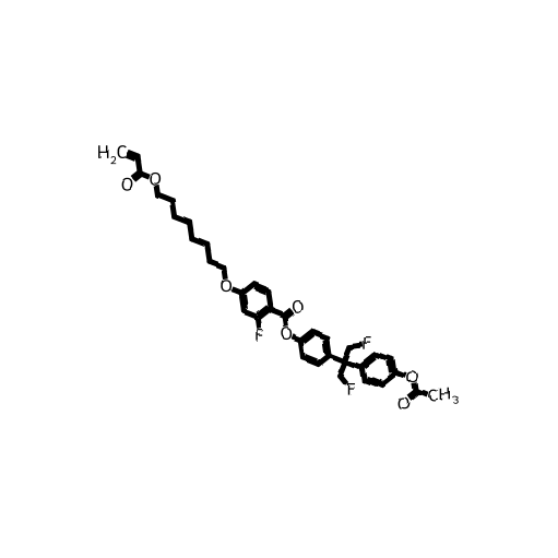 C=CC(=O)OCCCCCCCCOc1ccc(C(=O)Oc2ccc(C(CF)(CF)c3ccc(OC(C)=O)cc3)cc2)c(F)c1